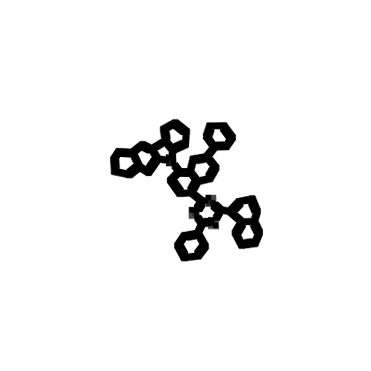 c1ccc(-c2ccc3c(-c4nc(-c5ccccc5)nc(-c5cccc6ccccc56)n4)ccc(-n4c5ccccc5c5cc6ccccc6cc54)c3c2)cc1